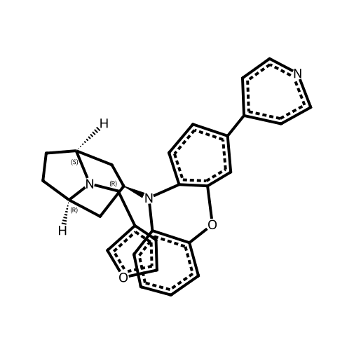 c1ccc2c(c1)Oc1cc(-c3ccncc3)ccc1N2[C@H]1C[C@H]2CC[C@@H](C1)N2Cc1ccoc1